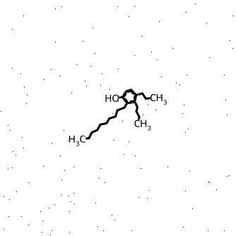 CCCCCCCCCCc1c(O)ccc(CCC)c1CCCC